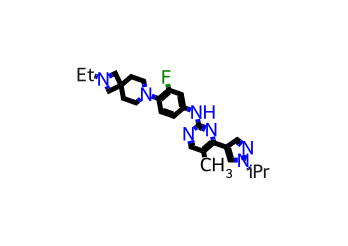 CCN1CC2(CCN(c3ccc(Nc4ncc(C)c(-c5cnn(C(C)C)c5)n4)cc3F)CC2)C1